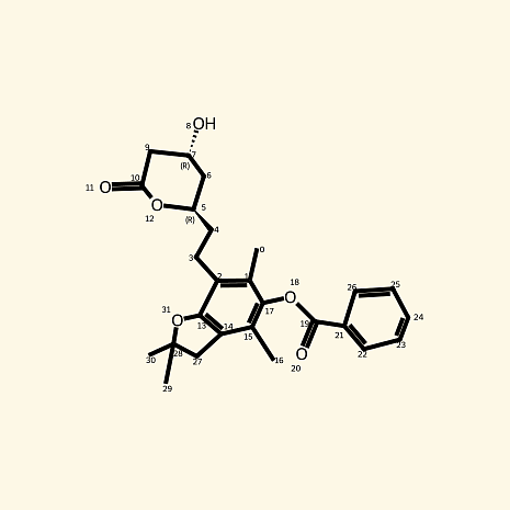 Cc1c(CC[C@@H]2C[C@@H](O)CC(=O)O2)c2c(c(C)c1OC(=O)c1ccccc1)CC(C)(C)O2